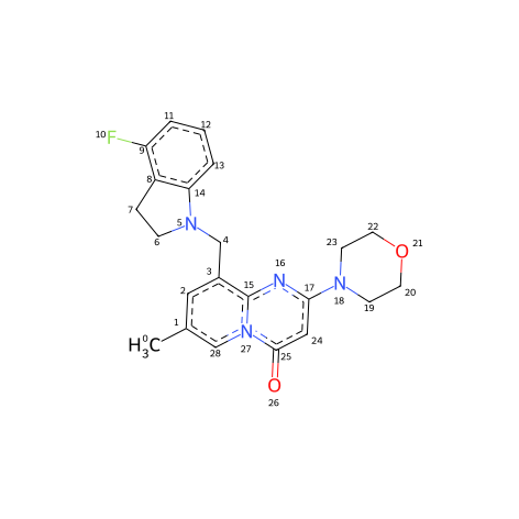 Cc1cc(CN2CCc3c(F)cccc32)c2nc(N3CCOCC3)cc(=O)n2c1